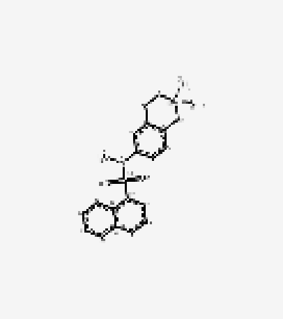 CN(c1ccc2c(c1)CC[N+](C)(C)C2)S(=O)(=O)c1cccc2ccccc12